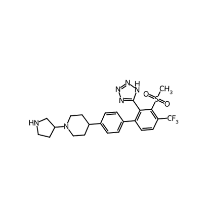 CS(=O)(=O)c1c(C(F)(F)F)ccc(-c2ccc(C3CCN(C4CCNC4)CC3)cc2)c1-c1nnn[nH]1